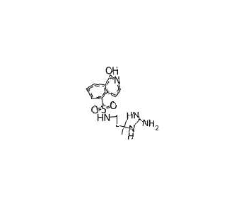 CC(C)(CCNS(=O)(=O)c1cccc2c(O)nccc12)NC(=N)N